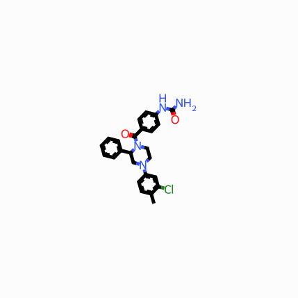 Cc1ccc(N2CCN(C(=O)c3ccc(NC(N)=O)cc3)C(c3ccccc3)C2)cc1Cl